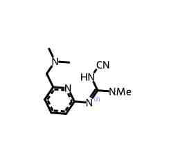 CN/C(=N/c1cccc(CN(C)C)n1)NC#N